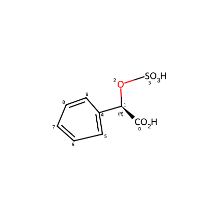 O=C(O)[C@H](OS(=O)(=O)O)c1ccccc1